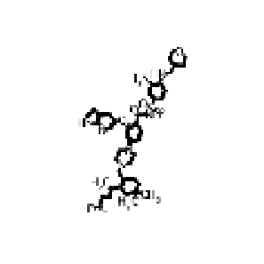 C=C(CCC(F)F)C1=C(CN2CCN(c3ccc(C(=O)NS(=O)(=O)c4ccc(NCC5CCOCC5)c(N)c4)c(Oc4cnc5[nH]ccc5c4)c3)CC2)CCC(C)(C)C1